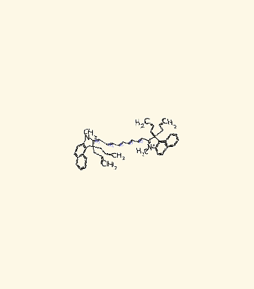 C=CCC1(CC=C)C(/C=C/C=C/C=C/C=C/C=C2/N(C)c3ccc4ccccc4c3C2(CC=C)CC=C)=[N+](C)c2ccc3ccccc3c21